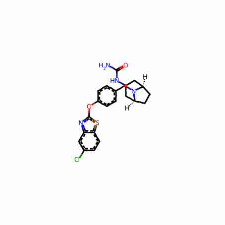 NC(=O)NC1C[C@H]2CC[C@@H](C1)N2Cc1ccc(Oc2nc3cc(Cl)ccc3s2)cc1